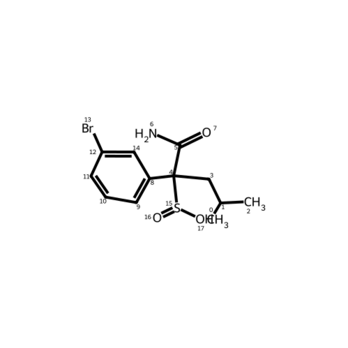 CC(C)CC(C(N)=O)(c1cccc(Br)c1)S(=O)O